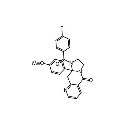 COc1ccc(C23Cc4ncccc4C(=O)N2CCN3C(=O)c2ccc(F)cc2)cc1